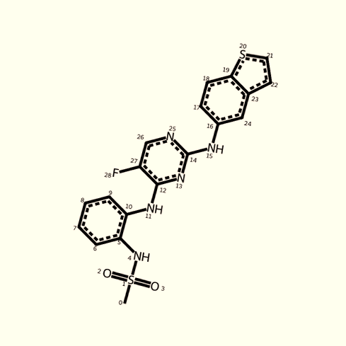 CS(=O)(=O)Nc1ccccc1Nc1nc(Nc2ccc3sccc3c2)ncc1F